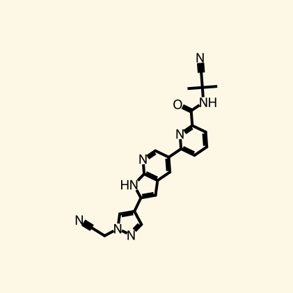 CC(C)(C#N)NC(=O)c1cccc(-c2cnc3[nH]c(-c4cnn(CC#N)c4)cc3c2)n1